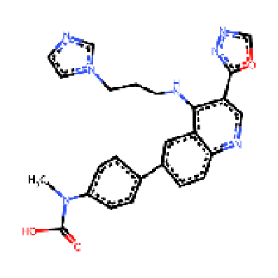 CN(C(=O)O)c1ccc(-c2ccc3ncc(-c4nnco4)c(NCCCn4ccnc4)c3c2)cc1